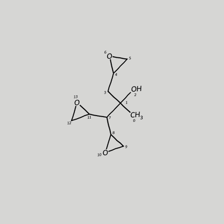 CC(O)(CC1CO1)C(C1CO1)C1CO1